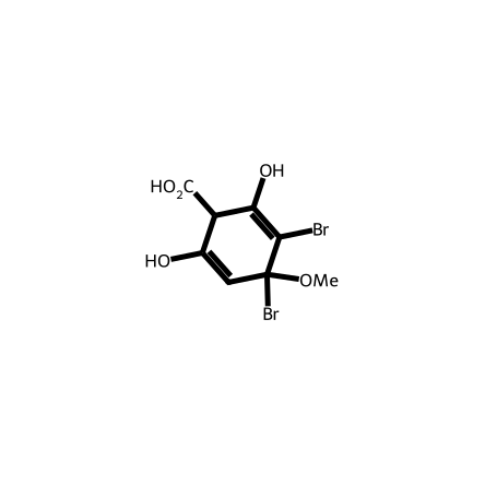 COC1(Br)C=C(O)C(C(=O)O)C(O)=C1Br